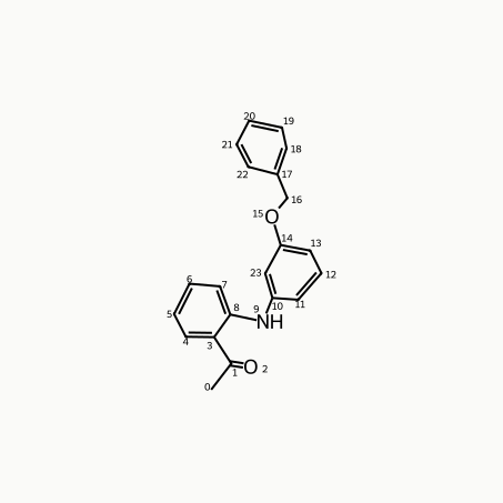 CC(=O)c1ccccc1Nc1cccc(OCc2ccccc2)c1